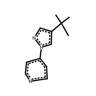 CC(C)(C)c1cnn(-c2ccncc2)c1